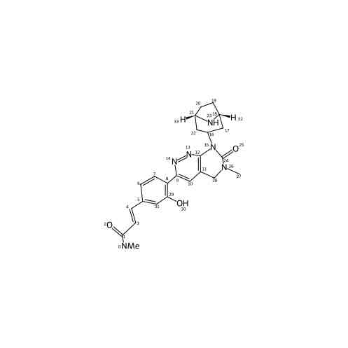 CNC(=O)/C=C/c1ccc(-c2cc3c(nn2)N(C2C[C@H]4CC[C@@H](C2)N4)C(=O)N(C)C3)c(O)c1